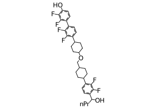 CCCC(O)c1ccc(C2CCC(COC3CCC(c4ccc(-c5ccc(O)c(F)c5F)c(F)c4F)CC3)CC2)c(F)c1F